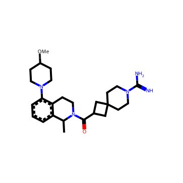 COC1CCN(c2cccc3c2CCN(C(=O)C2CC4(CCN(C(=N)N)CC4)C2)C3C)CC1